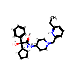 CCc1cccc(CN2CCC(NC(=O)C(O)(c3ccccc3)C3CCCC3)CC2)n1